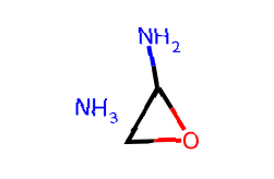 N.NC1CO1